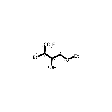 CCOCC(O)C(CC)C(=O)OCC